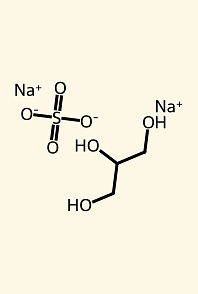 O=S(=O)([O-])[O-].OCC(O)CO.[Na+].[Na+]